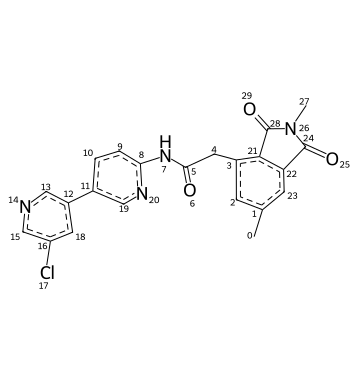 Cc1cc(CC(=O)Nc2ccc(-c3cncc(Cl)c3)cn2)c2c(c1)C(=O)N(C)C2=O